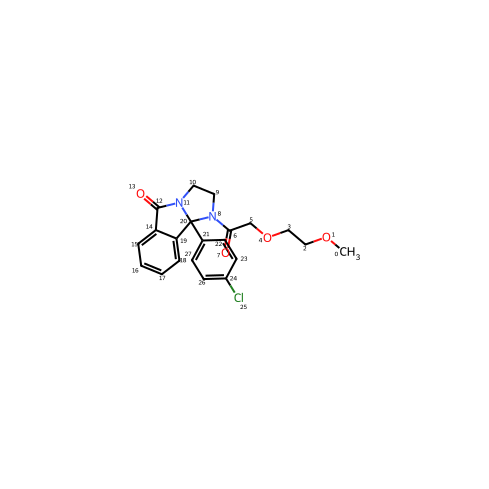 COCCOCC(=O)N1CCN2C(=O)c3ccccc3C12c1ccc(Cl)cc1